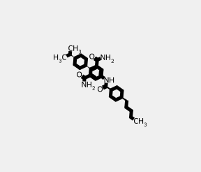 CCCCC[C@H]1CC[C@@H](C(=O)Nc2cc(C(N)=O)c([C@H]3CC[C@@H](C(C)C)CC3)c(C(N)=O)c2)CC1